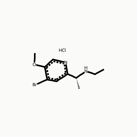 CCN[C@H](C)c1cc(Br)c(OC)cn1.Cl